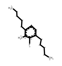 CCCCCc1ccc(CCCCC)c(F)c1C